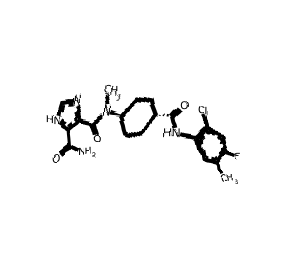 Cc1cc(NC(=O)[C@H]2CC[C@H](N(C)C(=O)c3nc[nH]c3C(N)=O)CC2)c(Cl)cc1F